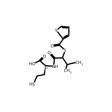 CC(C)C(SC(=O)c1cccs1)C(=O)N[C@@H](CCS)C(=O)O